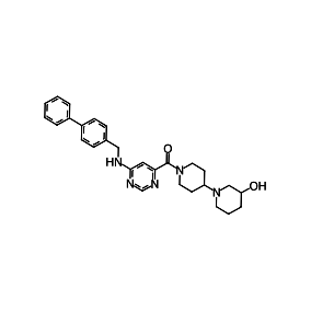 O=C(c1cc(NCc2ccc(-c3ccccc3)cc2)ncn1)N1CCC(N2CCCC(O)C2)CC1